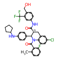 Cc1cccc(F)c1C(=O)N1c2ccc(Cl)cc2C[C@H](C(=O)Nc2ccc(CO)c(C(F)(F)F)c2)C1c1ccc(NC2CCCC2)cc1